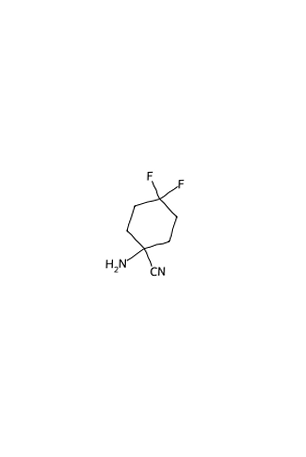 N#CC1(N)CCC(F)(F)CC1